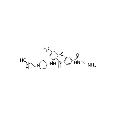 NCCNC(=O)c1ccc2c(c1)Sc1cc(C(F)(F)F)cc(NC3CCN(CCNO)CC3)c1N2